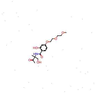 COCCOCCOc1ccc(C(=O)NC(C)(CO)C(C)=O)c(O)c1